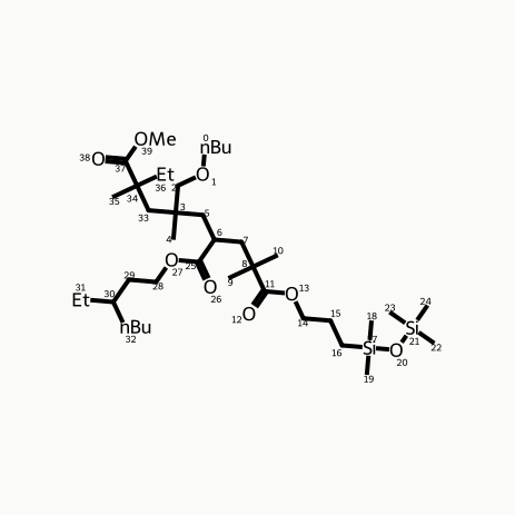 CCCCOCC(C)(CC(CC(C)(C)C(=O)OCCC[Si](C)(C)O[Si](C)(C)C)C(=O)OCCC(CC)CCCC)CC(C)(CC)C(=O)OC